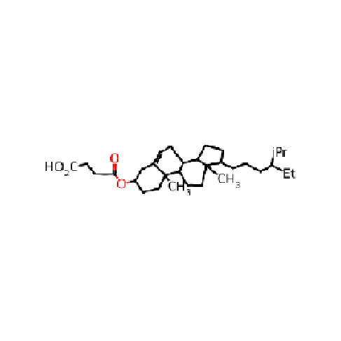 CCC(CCCC1CCC2C3CC=C4CC(OC(=O)CCC(=O)O)CCC4(C)C3CCC12C)C(C)C